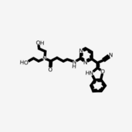 N#C/C(=C1/Nc2ccccc2O1)c1ccnc(NCCCC(=O)N(CCO)CCO)n1